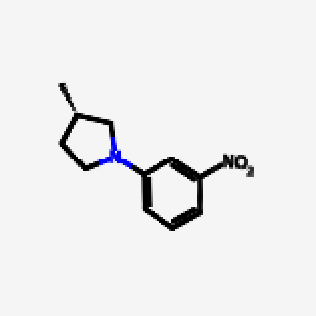 C[C@H]1CCN(c2cccc([N+](=O)[O-])c2)C1